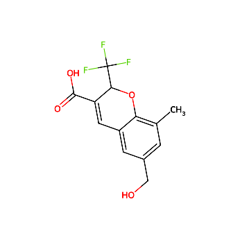 Cc1cc(CO)cc2c1OC(C(F)(F)F)C(C(=O)O)=C2